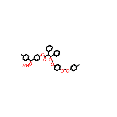 Cc1ccc(OCOc2ccc(OCOC(c3ccccc3)C(C(=O)Oc3ccc(C(OO)c4ccc(C)cc4)cc3)c3ccccc3)cc2)cc1